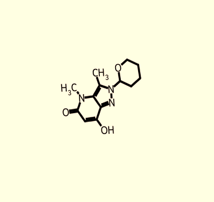 Cc1c2c(nn1C1CCCCO1)c(O)cc(=O)n2C